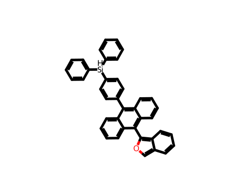 c1ccc([SiH](c2ccccc2)c2ccc(-c3c4ccccc4c(-c4occ5ccccc45)c4ccccc34)cc2)cc1